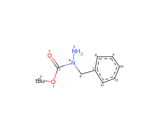 CC(C)(C)OC(=O)N(N)Cc1ccccc1